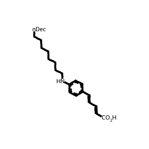 CCCCCCCCCCCCCCCCCCNc1ccc(C=CC=CC(=O)O)cc1